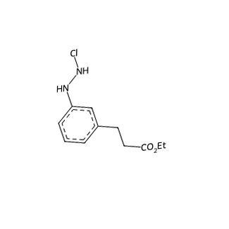 CCOC(=O)CCc1cccc(NNCl)c1